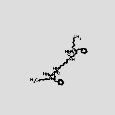 CCCCCCN1C(=N)N(CC(=O)NCCCCCCNC(=O)CN2C[C@H](Cc3ccccc3)N(CCCCCC)C2=N)C[C@@H]1Cc1ccccc1